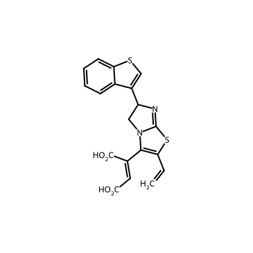 C=CC1=C(/C(=C/C(=O)O)C(=O)O)N2CC(c3csc4ccccc34)N=C2S1